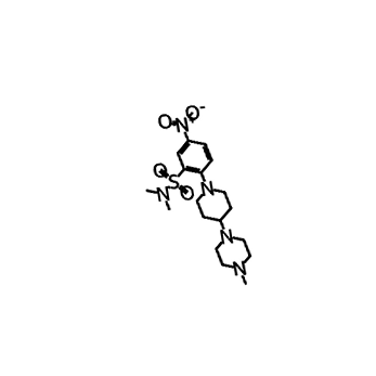 CN1CCN(C2CCN(c3ccc([N+](=O)[O-])cc3S(=O)(=O)N(C)C)CC2)CC1